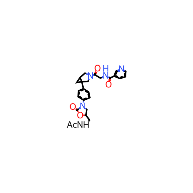 CC(=O)NCC1CN(c2ccc(C34CC3CN(C(=O)CNC(=O)c3cccnc3)C4)cc2)C(=O)O1